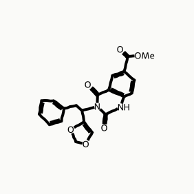 COC(=O)c1ccc2[nH]c(=O)n(C(Cc3ccccc3)C3=COCO3)c(=O)c2c1